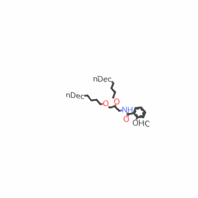 CCCCCCCCCCCCCCOCC(CNC(=O)c1ccccc1C=O)OCCCCCCCCCCCCCC